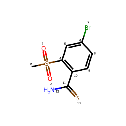 CS(=O)(=O)c1cc(Br)ccc1C(N)=S